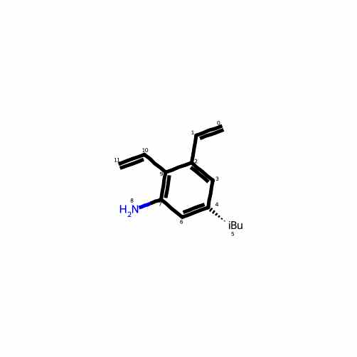 C=Cc1cc([C@@H](C)CC)cc(N)c1C=C